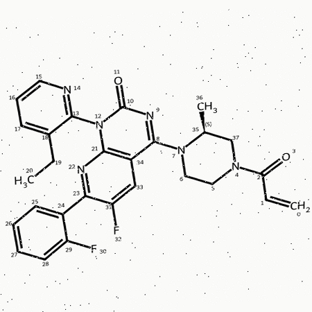 C=CC(=O)N1CCN(c2nc(=O)n(-c3ncccc3CC)c3nc(-c4ccccc4F)c(F)cc23)[C@@H](C)C1